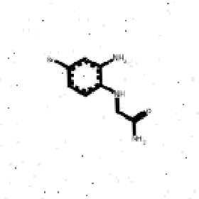 NC(=O)CNc1ccc(Br)cc1N